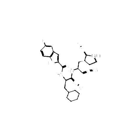 O=C=CC(C[C@@H]1CCNC1=C=O)NC(=C=O)C(CC1CCCCC1)NC(=O)c1cc2cc(F)ccc2[nH]1